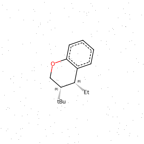 CC[C@H]1c2ccccc2OC[C@H]1C(C)(C)C